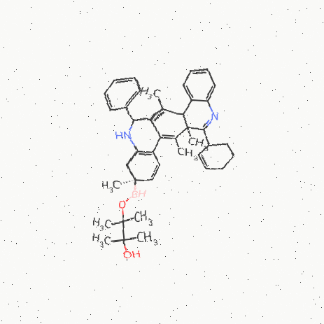 CC1=C2C(=C(C)C3(C)C(C4C=CCCC4)=Nc4ccccc4C13)C1=C(C[C@](C)(BOC(C)(C)C(C)(C)O)C=C1)NC2c1ccccc1